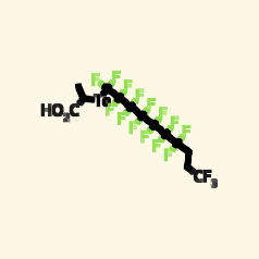 CC([Te]C(F)(F)C(F)(F)C(F)(F)C(F)(F)C(F)(F)C(F)(F)C(F)(F)CCC(F)(F)F)C(=O)O